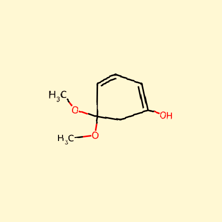 COC1(OC)C=CC=C(O)C1